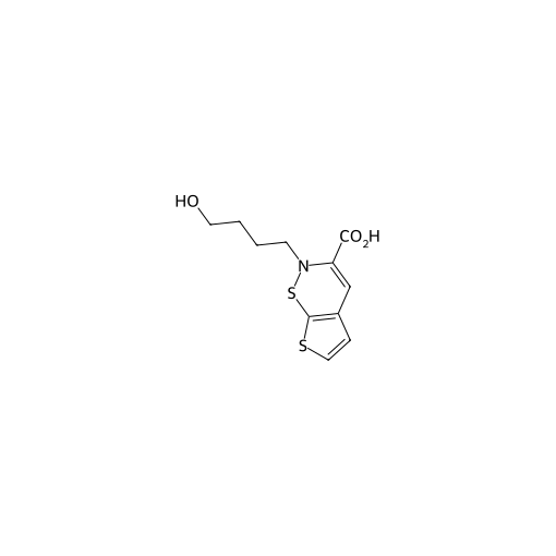 O=C(O)C1=Cc2ccsc2SN1CCCCO